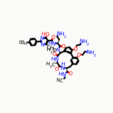 Cc1nc(-c2ccc(C(C)(C)C)cc2)nc(O)c1C(=O)N[C@@H](CCN)C(=O)N(C)[C@@H]1C(=O)N[C@@H](C)C(=O)N[C@H](C(=O)NCC#N)Cc2ccc(OCCN)c(c2)-c2cc1ccc2OCCN